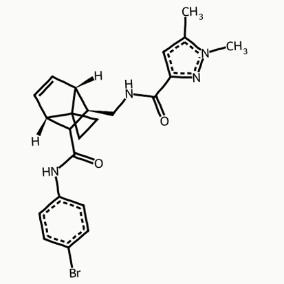 Cc1cc(C(=O)NC[C@H]2C(C(=O)Nc3ccc(Br)cc3)[C@@H]3C=C[C@H]2C32CC2)nn1C